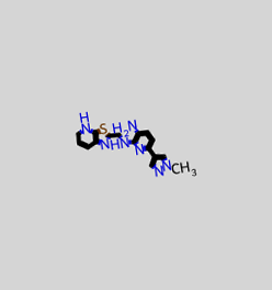 Cn1cc(-c2ccc(N)c(NCc3nc4c(s3)NCC=C4)n2)cn1